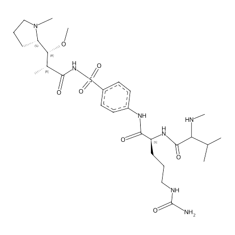 CNC(C(=O)N[C@@H](CCCNC(N)=O)C(=O)Nc1ccc(S(=O)(=O)NC(=O)[C@H](C)[C@@H](OC)[C@@H]2CCCN2C)cc1)C(C)C